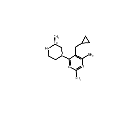 C[C@H]1CN(c2nc(N)nc(N)c2CC2CC2)CCN1